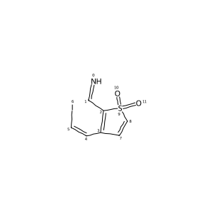 N=CC1=C(/C=C\I)C=CS1(=O)=O